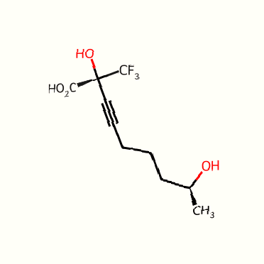 C[C@H](O)CCCC#C[C@@](O)(C(=O)O)C(F)(F)F